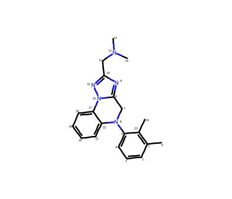 Cc1cccc(N2Cc3nc(CN(C)C)nn3-c3ccccc32)c1C